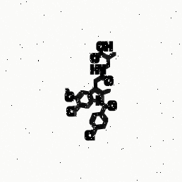 COc1cc2c(CC(=O)NCC(C)C(=O)O)c(C)n(C(=O)c3ccc(Cl)cc3)c2cc1Cl